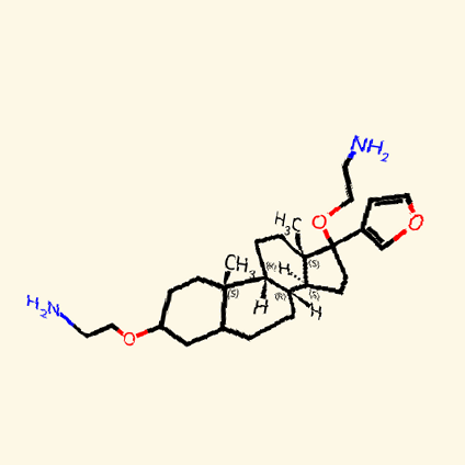 C[C@]12CCC(OCCN)CC1CC[C@@H]1[C@H]2CC[C@@]2(C)[C@H]1CCC2(OCCN)c1ccoc1